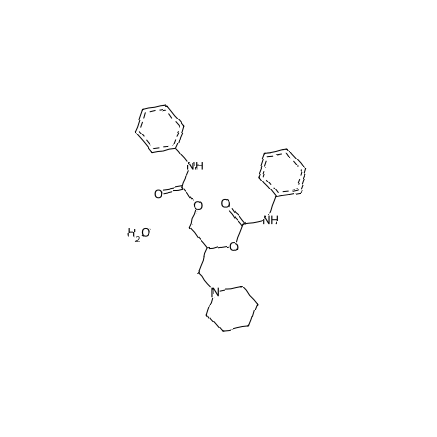 O.O=C(Nc1ccccc1)OCC(CN1CCCCC1)OC(=O)Nc1ccccc1